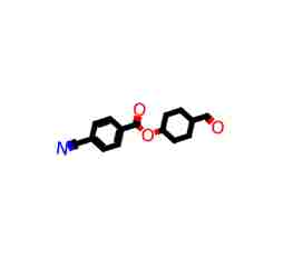 N#Cc1ccc(C(=O)OC2CCC(C=O)CC2)cc1